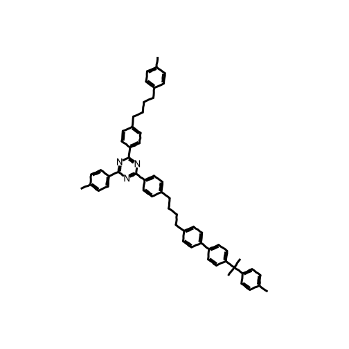 Cc1ccc(CCCCc2ccc(-c3nc(-c4ccc(C)cc4)nc(-c4ccc(CCCCc5ccc(-c6ccc(C(C)(C)c7ccc(C)cc7)cc6)cc5)cc4)n3)cc2)cc1